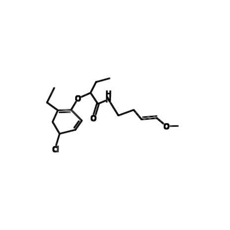 CCC1=C(OC(CC)C(=O)NCC/C=C/OC)C=CC(Cl)C1